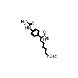 CCCCCCCCCCCCCCCC(c1ccc(NC(N)=S)cc1)[SH](=O)=O